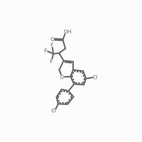 O=C(O)CC(C1=Cc2cc(Cl)cc(-c3ccc(Cl)cc3)c2OC1)C(F)(F)F